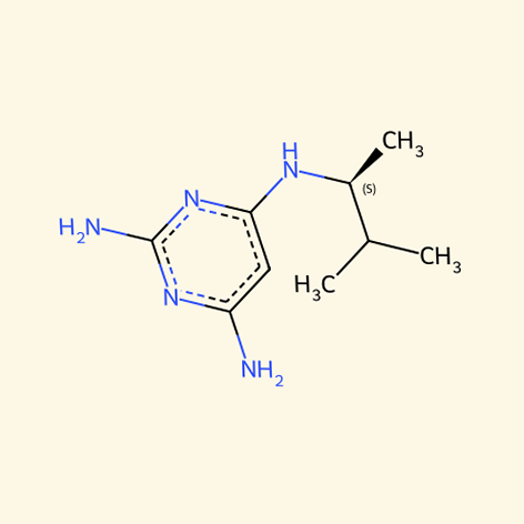 CC(C)[C@H](C)Nc1cc(N)nc(N)n1